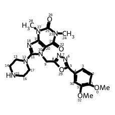 COc1ccc(-c2nnc(Cn3c(N4CCNCC4)nc4c3c(=O)n(C)c(=O)n4C)o2)cc1OC